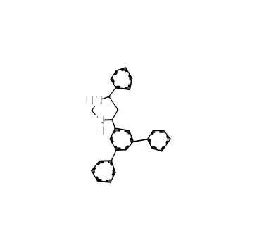 c1ccc(-c2cc(-c3ccccc3)cc(C3CC(c4ccccc4)NCN3)c2)cc1